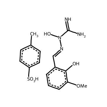 COc1cccc(C=NN(O)C(=N)N)c1O.Cc1ccc(S(=O)(=O)O)cc1